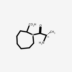 C[C@H](N)C(=O)N1CCCCCCC1C(=O)O